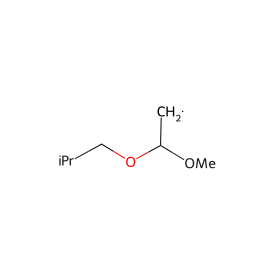 [CH2]C(OC)OCC(C)C